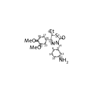 CCC1SC(=O)N(Cc2cccc(N)c2)N=C1c1ccc(OC)c(OC)c1